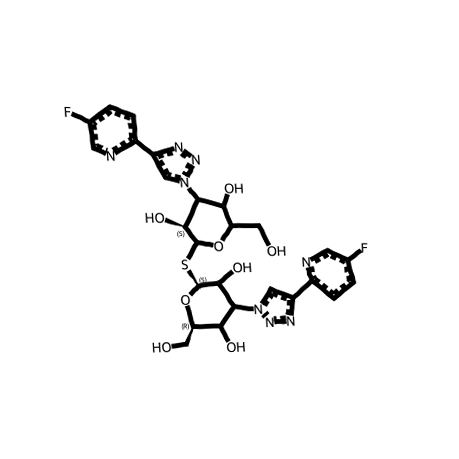 OCC1OC(S[C@@H]2O[C@H](CO)C(O)C(n3cc(-c4ccc(F)cn4)nn3)C2O)[C@@H](O)C(n2cc(-c3ccc(F)cn3)nn2)C1O